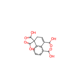 O=C(O)C1=CCC(C(=O)O)(C(=O)O)c2cccc(C(=O)O)c21